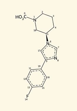 O=C(O)N1CCC[C@@H](n2cnc(-c3ccc(F)cc3)c2)C1